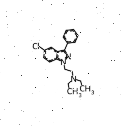 CCN(CC)CCn1nc(-c2ccccc2)c2cc(Cl)ccc21